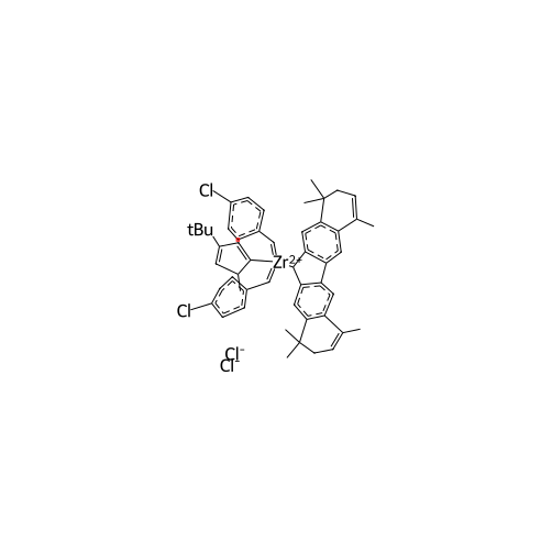 CC1=CCC(C)(C)c2cc3c(cc21)-c1cc2c(cc1[CH]3[Zr+2](=[CH]c1ccc(Cl)cc1)(=[CH]c1ccc(Cl)cc1)[C]1=CC(C(C)(C)C)=CC1C)C(C)(C)CC=C2C.[Cl-].[Cl-]